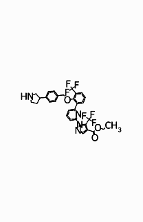 CCOC(=O)c1cnn(-c2cccc(-c3cccc(C(F)(F)F)c3OCc3ccc(C4CCNC4)cc3)n2)c1C(F)(F)F